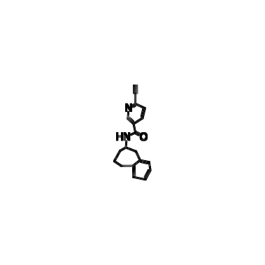 C#Cc1ccc(C(=O)NC2CCCc3ccccc3C2)cn1